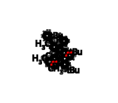 CC(C)(C)c1cccc(N2c3cc(C(C)(C)c4ccccc4)ccc3B3c4cc5c(cc4N(c4c(-c6ccccc6)cc(C(C)(C)C)cc4-c4ccccc4)c4cc(C(C)(C)C)cc2c43)C(C)(C)CCC5(C)C)c1